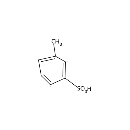 Cc1[c]c(S(=O)(=O)O)[c]cc1